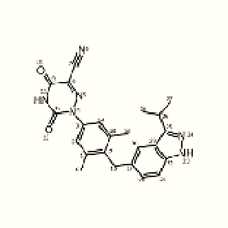 Cc1cc(-n2nc(C#N)c(=O)[nH]c2=O)cc(C)c1Cc1ccc2[nH]nc(C(C)C)c2c1